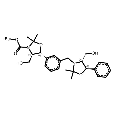 CC(C)(C)OC(=O)N1[C@H](CO)[C@@H](c2cccc(CN3[C@H](CO)[C@@H](c4ccccc4)OC3(C)C)c2)OC1(C)C